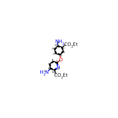 CCOC(=O)c1cc(Oc2ccc(N)c(C(=O)OCC)n2)ccc1N